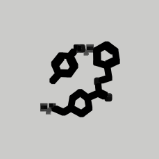 Cc1ccc(S(=O)(=O)O)cc1.NCC1CCC(C(=O)OCc2ccccc2)CC1